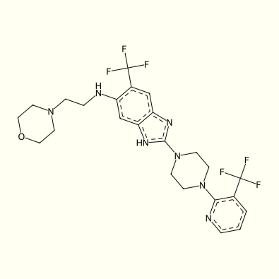 FC(F)(F)c1cc2nc(N3CCN(c4ncccc4C(F)(F)F)CC3)[nH]c2cc1NCCN1CCOCC1